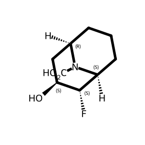 O=C(O)N1[C@@H]2CCC[C@H]1[C@H](F)[C@@H](O)C2